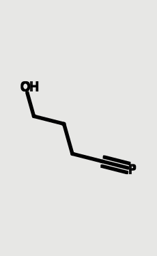 OCCCC#P